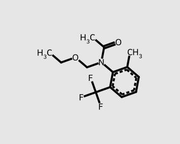 CCOCN(C(C)=O)c1c(C)cccc1C(F)(F)F